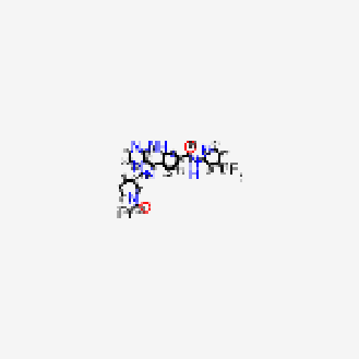 CC(C)C(=O)N1CCC[C@@H](c2nc(-c3ccc(C(=O)Nc4cc(C(F)(F)F)ccn4)cc3)c3c(N)nccn23)C1